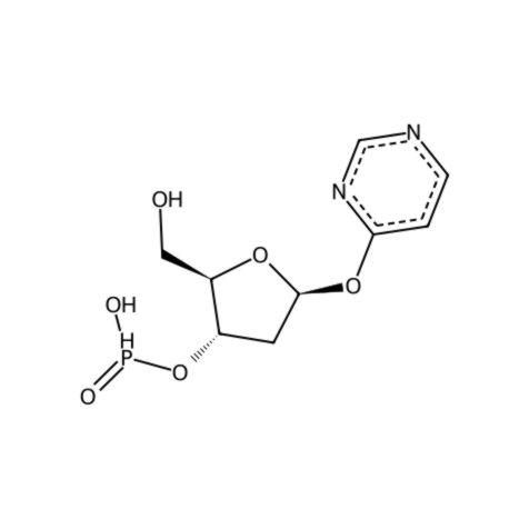 O=[PH](O)O[C@H]1C[C@H](Oc2ccncn2)O[C@@H]1CO